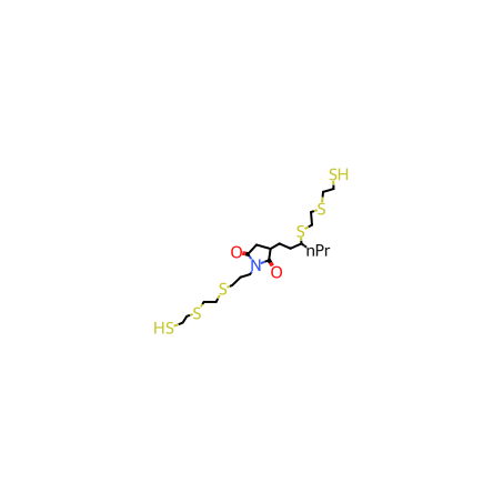 CCCC(CCC1CC(=O)N(CCCSCCSCCS)C1=O)SCCSCCS